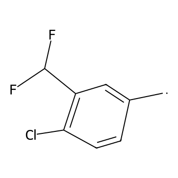 [CH2]c1ccc(Cl)c(C(F)F)c1